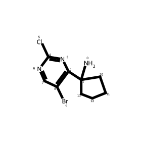 NC1(c2nc(Cl)ncc2Br)CCCC1